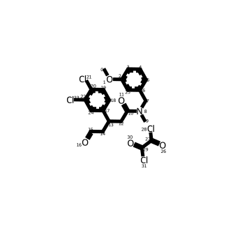 COc1cccc(CN(C)C(=O)CC(CC=O)c2ccc(Cl)c(Cl)c2)c1.O=C(Cl)C(=O)Cl